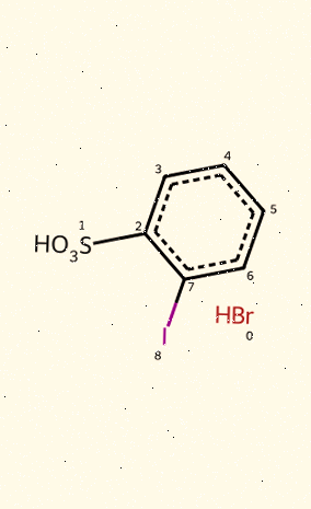 Br.O=S(=O)(O)c1ccccc1I